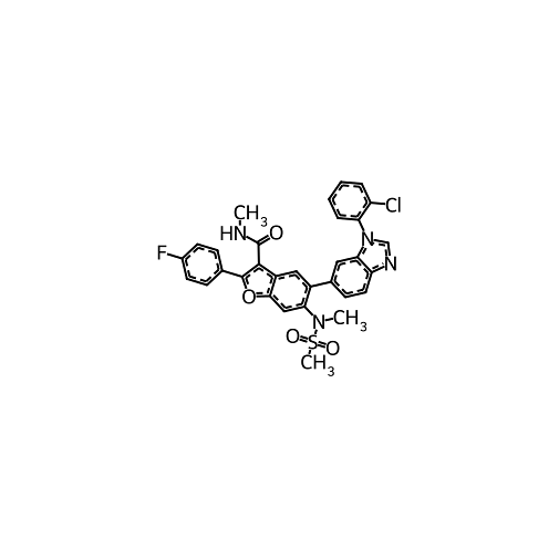 CNC(=O)c1c(-c2ccc(F)cc2)oc2cc(N(C)S(C)(=O)=O)c(-c3ccc4ncn(-c5ccccc5Cl)c4c3)cc12